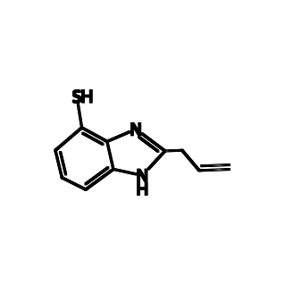 C=CCc1nc2c(S)cccc2[nH]1